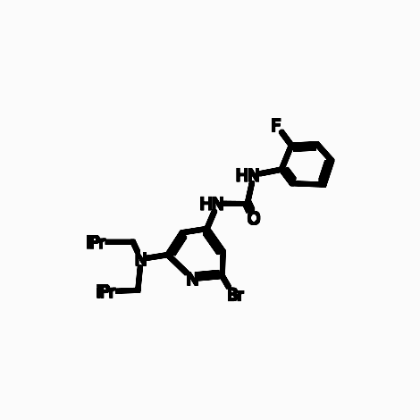 CC(C)CN(CC(C)C)c1cc(NC(=O)Nc2ccccc2F)cc(Br)n1